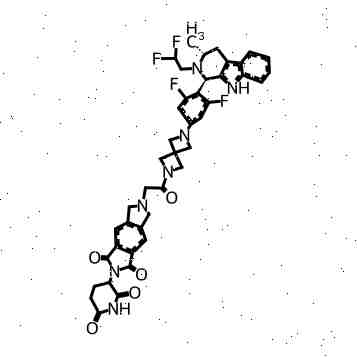 C[C@@H]1Cc2c([nH]c3ccccc23)[C@@H](c2c(F)cc(N3CC4(CN(C(=O)CN5Cc6cc7c(cc6C5)C(=O)N(C5CCC(=O)NC5=O)C7=O)C4)C3)cc2F)N1CC(F)F